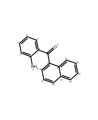 Nc1ccccc1C(=O)c1cccc2ccccc12